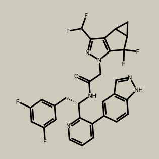 O=C(Cn1nc(C(F)F)c2c1C(F)(F)C1CC21)N[C@@H](Cc1cc(F)cc(F)c1)c1ncccc1-c1ccc2[nH]ncc2c1